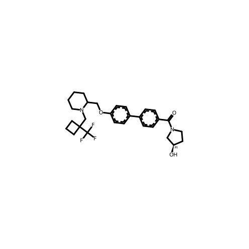 O=C(c1ccc(-c2ccc(OCC3CCCCN3CC3(C(F)(F)F)CCC3)cc2)cc1)N1CC[C@@H](O)C1